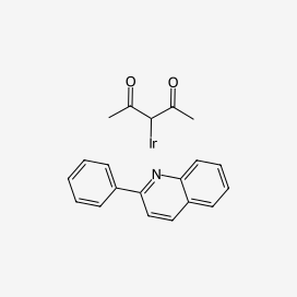 CC(=O)[CH]([Ir])C(C)=O.c1ccc(-c2ccc3ccccc3n2)cc1